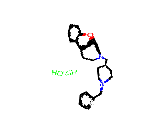 Cl.Cl.c1ccc(CN2CCC(CN3CCc4c(oc5ccccc45)C3)CC2)cc1